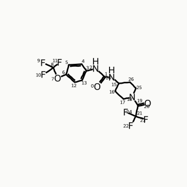 O=C(Nc1ccc(OC(F)(F)F)cc1)NC1CCN(C(=O)C(F)(F)F)CC1